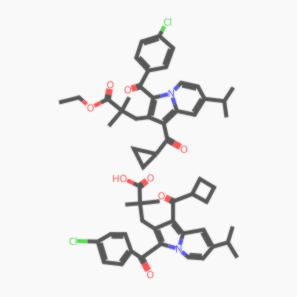 CC(C)c1ccn2c(C(=O)c3ccc(Cl)cc3)c(CC(C)(C)C(=O)O)c(C(=O)C3CCC3)c2c1.CCOC(=O)C(C)(C)Cc1c(C(=O)C2CC2)c2cc(C(C)C)ccn2c1C(=O)c1ccc(Cl)cc1